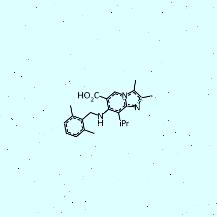 Cc1cccc(C)c1CNc1c(C(=O)O)cn2c(C)c(C)nc2c1C(C)C